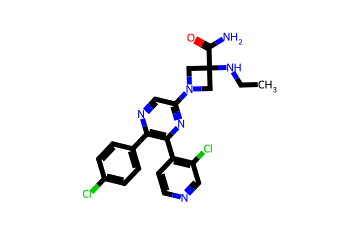 CCNC1(C(N)=O)CN(c2cnc(-c3ccc(Cl)cc3)c(-c3ccncc3Cl)n2)C1